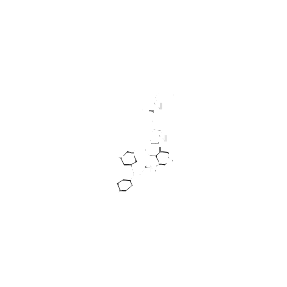 O=C(C[C@@H](c1ccc(F)cc1)c1cc(F)cc(F)c1)Nc1cncc(F)c1CC[C@@H]1CNC[C@@H](COC(=O)NCC(F)(F)F)O1